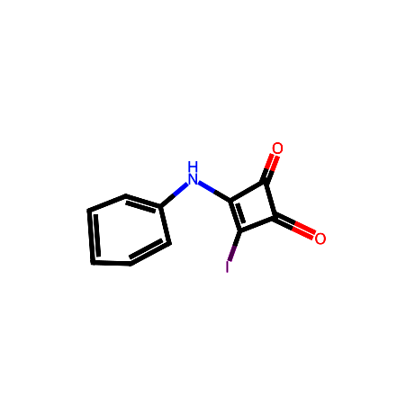 O=c1c(I)c(Nc2ccccc2)c1=O